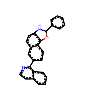 c1ccc(C2Nc3ccc4cc(-c5nccc6ccccc56)ccc4c3O2)cc1